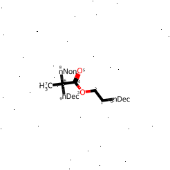 CCCCCCCCCCCCOC(=O)C(C)(CCCCCCCCC)CCCCCCCCCC